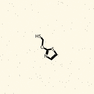 SCOc1nc[c]s1